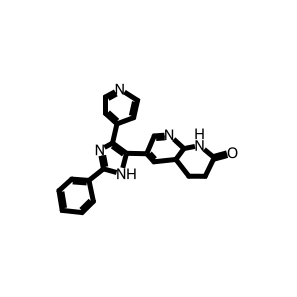 O=C1CCC2C=C(c3[nH]c(-c4ccccc4)nc3-c3ccncc3)C=NC2N1